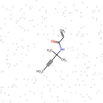 C=CC(=O)NC(C)(C)C#CS(=O)(=O)O